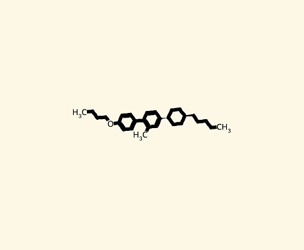 CCCCC[C@H]1CC[C@H](c2ccc(-c3ccc(OCCCC)cc3)c(C)c2)CC1